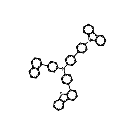 c1ccc2c(-c3ccc(N(c4ccc(-c5ccc(-n6c7ccccc7c7ccccc76)cc5)cc4)c4ccc(-c5cccc6c5sc5ccccc56)cc4)cc3)cccc2c1